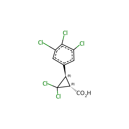 O=C(O)[C@H]1[C@H](c2cc(Cl)c(Cl)c(Cl)c2)C1(Cl)Cl